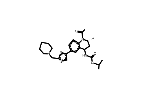 CC(=O)N1c2ccc(-c3csc(CN4CCCCC4)n3)cc2C(NC(=O)OC(C)C)C[C@H]1C